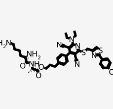 CCN(CC)c1nc(SCc2csc(-c3ccc(Cl)cc3)n2)c(C#N)c(-c2ccc(CCCOC(=O)[C@H](C)NC(=O)[C@@H](N)CCCCN)cc2)c1C#N